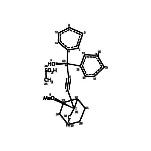 CO[C@]1(C#C[C@](O)(c2ccccc2)c2cccnc2)CN2CCC1CC2.CS(=O)(=O)O